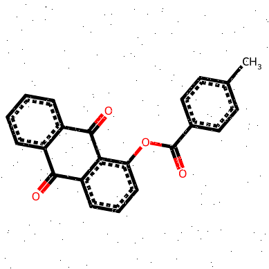 Cc1ccc(C(=O)Oc2cccc3c2C(=O)c2ccccc2C3=O)cc1